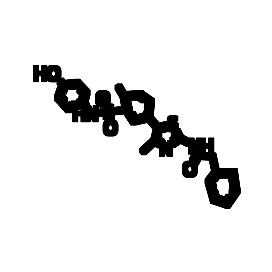 Cc1ccc(-c2sc(NC(=O)Cc3ccccc3)nc2C)cc1S(=O)(=O)Nc1ccc(O)cc1